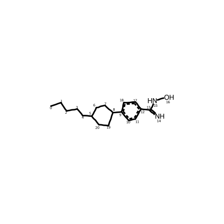 CCCCCC1CCC(c2ccc(C(=N)NO)cc2)CC1